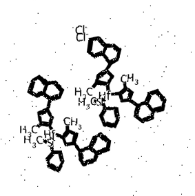 CC1=[C]([Hf]([C]2=C(C)C=C(c3cccc4ccccc34)C2)=[Si](C)c2ccccc2)CC(c2cccc3ccccc23)=C1.CC1=[C]([Hf]([C]2=C(C)C=C(c3cccc4ccccc34)C2)=[Si](C)c2ccccc2)CC(c2cccc3ccccc23)=C1.[Cl-].[Cl-]